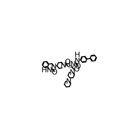 O=C(Nc1ccc(-c2ccccc2)cc1)N[C@@H](CC(=O)N1CCC(N2Cc3ccccc3NC2=O)CC1)C(=O)N1CCC(N2CCCCC2)CC1